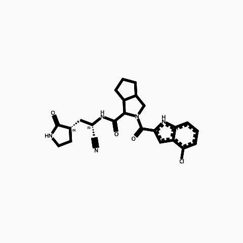 N#C[C@H](C[C@@H]1CCNC1=O)NC(=O)C1C2CCCC2CN1C(=O)c1cc2c(Cl)cccc2[nH]1